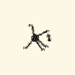 C=C(C)C(=O)OCC[N+](C)(C)C.CC(C)CCCCCCCCCCOC(=O)c1c(C(=O)OCCCCCCCCCCC(C)C)c(C(=O)OCCCCCCCCCCC(C)C)[c-](C(=O)OCCCCCCCCCCC(C)C)c1C(=O)OCCCCCCCCCCC(C)C